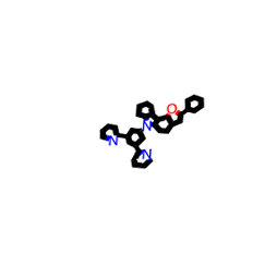 c1ccc(-c2cc3ccc4c(c5ccccc5n4-c4cc(-c5ccccn5)cc(-c5ccccn5)c4)c3o2)cc1